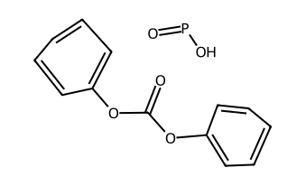 O=C(Oc1ccccc1)Oc1ccccc1.O=PO